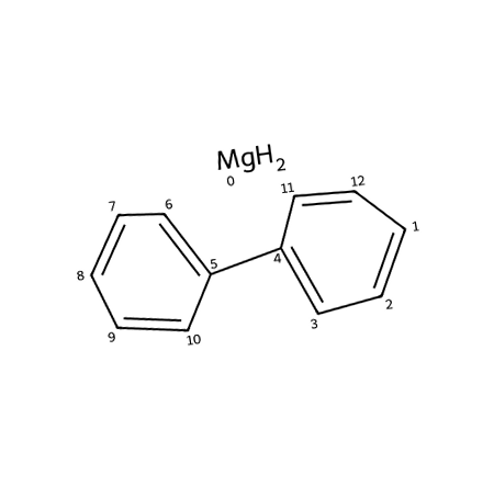 [MgH2].c1ccc(-c2ccccc2)cc1